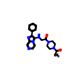 CC(=O)N1CCN(C(=O)CNc2c(-c3ccccc3)nc3cnccn23)CC1